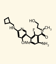 COc1cc(NCC2CCC2)ncc1-c1ccc(N)c(C(=O)N(C)CCO)c1F